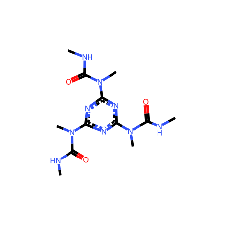 CNC(=O)N(C)c1nc(N(C)C(=O)NC)nc(N(C)C(=O)NC)n1